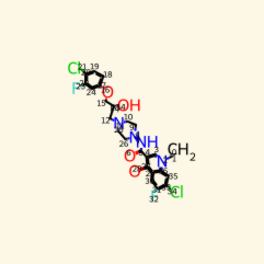 C=Cn1cc(C(=O)NN2CCN(C[C@@H](O)COc3ccc(Cl)c(F)c3)CC2)c(=O)c2cc(F)c(Cl)cc21